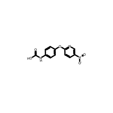 O=C(O)Nc1ccc(Oc2ccc([N+](=O)[O-])cn2)cc1